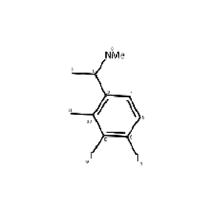 CNC(C)c1ccc(I)c(I)c1C